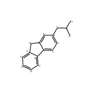 C[C](C)Cc1ccc2c(c1)Cc1ccccc1-2